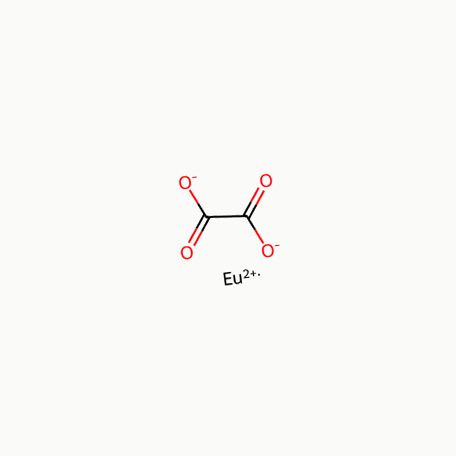 O=C([O-])C(=O)[O-].[Eu+2]